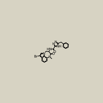 CN1C(=O)C(NC(=O)c2nnc(Cc3ccccc3)[nH]2)Cn2cc(Br)c3cccc1c32